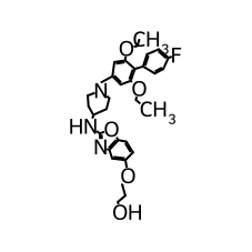 CCOc1cc(CN2CCC(Nc3nc4cc(OCCCO)ccc4o3)CC2)cc(OCC)c1-c1ccc(F)cc1